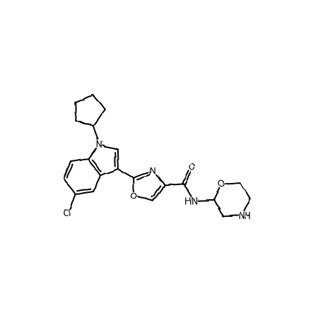 O=C(NC1CNCCO1)c1coc(-c2cn(C3CCCC3)c3ccc(Cl)cc23)n1